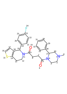 CN1CCN(C(=O)CCC(=O)N2CCc3sccc3C2c2ccc(F)cc2)C(c2ccccc2)C1